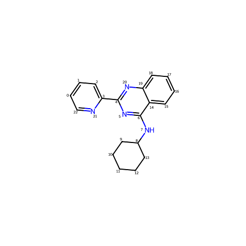 c1ccc(-c2nc(NC3CCCCC3)c3ccccc3n2)nc1